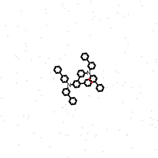 c1ccc(-c2ccc(N(c3cccc(-c4ccccc4)c3)c3cccc(-c4cc(N(c5ccc(-c6ccccc6)cc5)c5cccc(-c6ccccc6)c5)ccc4-c4ccccc4)c3)cc2)cc1